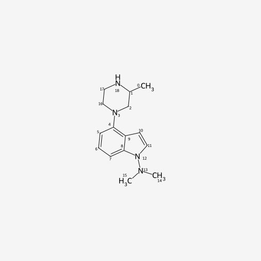 CC1CN(c2cccc3c2ccn3N(C)C)CCN1